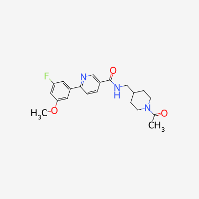 COc1cc(F)cc(-c2ccc(C(=O)NCC3CCN(C(C)=O)CC3)cn2)c1